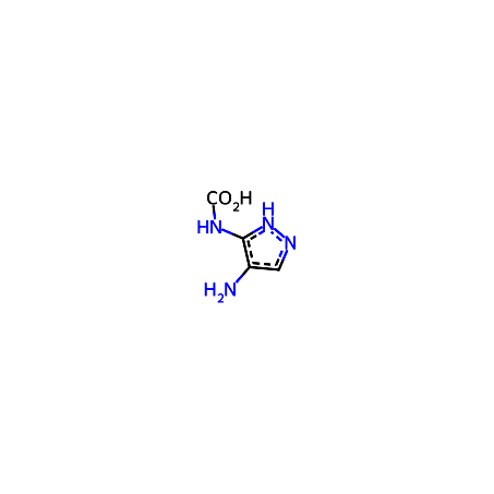 Nc1cn[nH]c1NC(=O)O